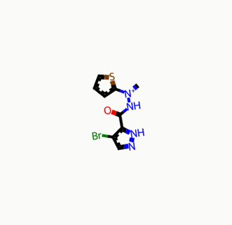 C=[N+](NC(=O)c1[nH]ncc1Br)c1cccs1